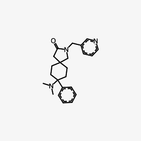 CN(C)C1(c2ccccc2)CCC2(CC1)CC(=O)N(Cc1cccnc1)C2